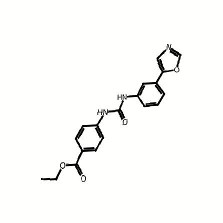 CCOC(=O)c1ccc(NC(=O)Nc2cccc(-c3cnco3)c2)cc1